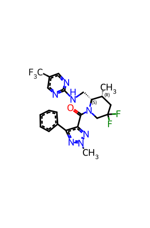 C[C@@H]1CC(F)(F)CN(C(=O)c2nn(C)nc2-c2ccccc2)[C@@H]1CNc1ncc(C(F)(F)F)cn1